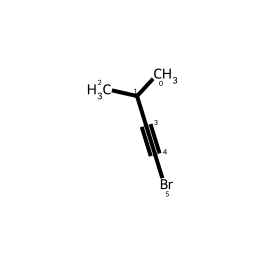 CC(C)C#CBr